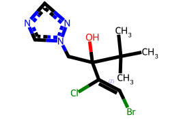 CC(C)(C)C(O)(Cn1cncn1)/C(Cl)=C/Br